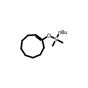 CCCC[Si](C)(C)OC1=CCCCCCCC1